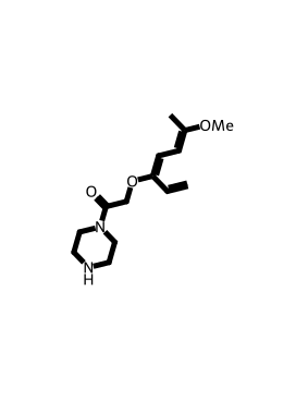 C=C/C(=C\C=C(/C)OC)OCC(=O)N1CCNCC1